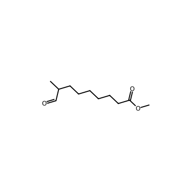 COC(=O)CCCCCCC(C)C=O